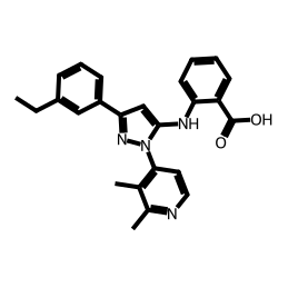 CCc1cccc(-c2cc(Nc3ccccc3C(=O)O)n(-c3ccnc(C)c3C)n2)c1